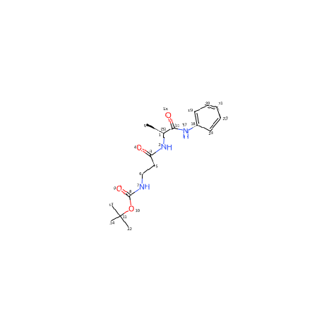 C[C@H](NC(=O)CCNC(=O)OC(C)(C)C)C(=O)Nc1ccccc1